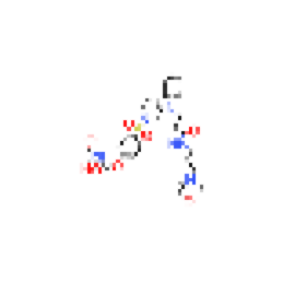 COc1ccc(S(=O)(=O)N2CCc3c(n(CCC(=O)NCCCN4CCOCC4)c4ccccc34)C2)cc1.O=CNO